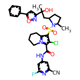 CC1CCC(CC(C)(O)c2cc(-c3ccccc3)on2)N1S(=O)(=O)c1c(Cl)c(C(=O)Nc2cc(F)nc(C#N)c2)n2c1CCCC2